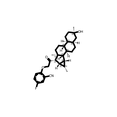 C[C@H]1[C@@H]2[C@H]1[C@H](C(=O)COc1ccc(F)cc1C#N)[C@@]1(C)CC[C@H]3[C@@H](CC[C@@H]4C[C@](C)(O)CC[C@@H]43)[C@H]21